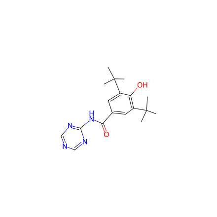 CC(C)(C)c1cc(C(=O)Nc2ncncn2)cc(C(C)(C)C)c1O